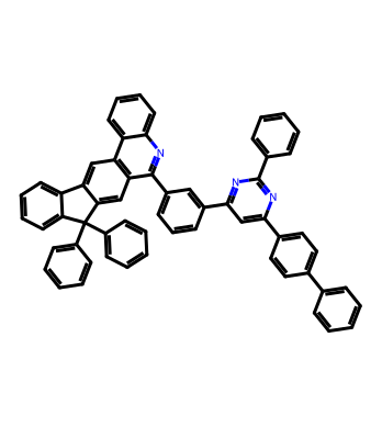 c1ccc(-c2ccc(-c3cc(-c4cccc(-c5nc6ccccc6c6cc7c(cc56)C(c5ccccc5)(c5ccccc5)c5ccccc5-7)c4)nc(-c4ccccc4)n3)cc2)cc1